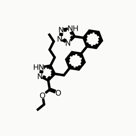 CCCCc1[nH]nc(C(=O)OCC)c1Cc1ccc(-c2ccccc2-c2nnn[nH]2)cc1